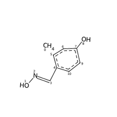 C.ON=Cc1ccc(O)cc1